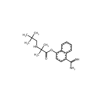 CC(C)(C)CNC(C)(C)C(=O)Oc1ccc(C(=N)N)c2ccccc12